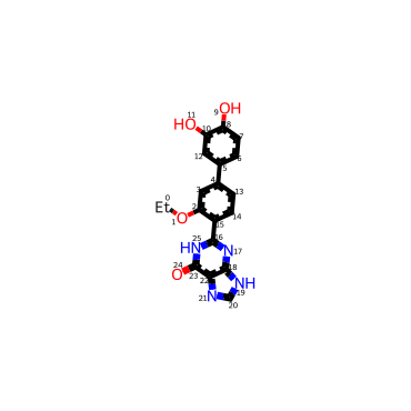 CCOc1cc(-c2ccc(O)c(O)c2)ccc1-c1nc2[nH]cnc2c(=O)[nH]1